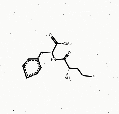 COC(=O)[C@H](Cc1ccccc1)NC(=O)[C@@H](N)CCC(C)C